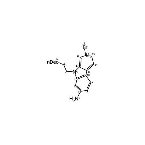 CCCCCCCCCCCCn1c2cc(N)ccc2c2ccc(Br)cc21